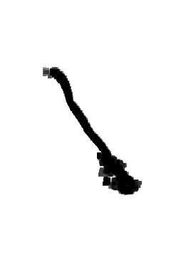 C=C=C=C=C=C=C=C=C=C=C=C=C=C=C=C=C=C=C=C=C=C=C=C=C=C=C=C=C=C=C=C=C=C=C=CN(C(=O)CC)C1CC(=O)N(c2c(C)cc(Cc3cc(C)c(N4C(=O)C=CC4=O)c(C(C)C)c3)cc2C(C)C)C1=O